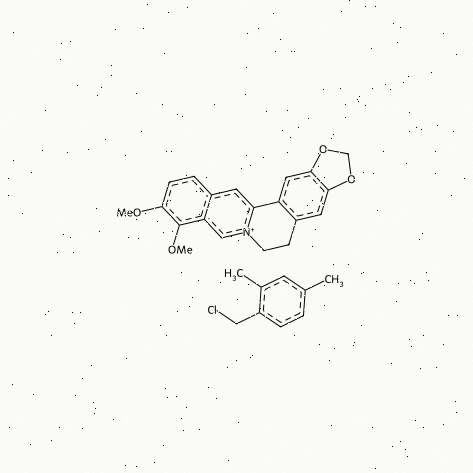 COc1ccc2cc3[n+](cc2c1OC)CCc1cc2c(cc1-3)OCO2.Cc1ccc(CCl)c(C)c1